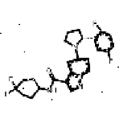 O=C(NC1CCC(F)(F)CC1)c1cnn2ccc(N3CCC[C@@H]3c3cc(F)ccc3F)cc12